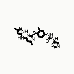 Cc1cc(Nc2cc(C)nc(Sc3ccc(NC(=O)Nc4cncs4)cc3C)n2)[nH]n1